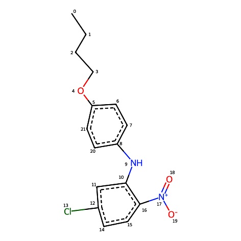 CCCCOc1ccc(Nc2cc(Cl)ccc2[N+](=O)[O-])cc1